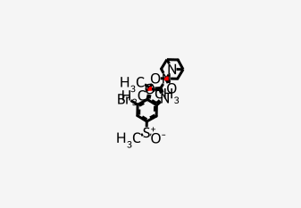 C[S+]([O-])c1cc(Br)c2oc(N3CC4CC(C3)N4C(=O)OC(C)(C)C)nc2c1